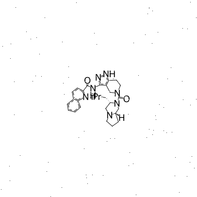 CC(C)C[C@H]1CN2CCC[C@H]2CN1C(=O)N1CCc2[nH]nc(NC(=O)c3ccc4ccccc4n3)c2C1